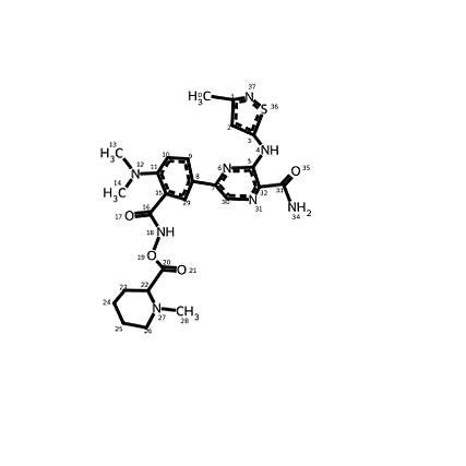 Cc1cc(Nc2nc(-c3ccc(N(C)C)c(C(=O)NOC(=O)C4CCCCN4C)c3)cnc2C(N)=O)sn1